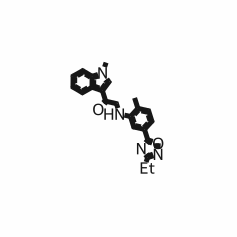 CCc1noc(-c2ccc(C)c(NCC(=O)c3cn(C)c4ccccc34)c2)n1